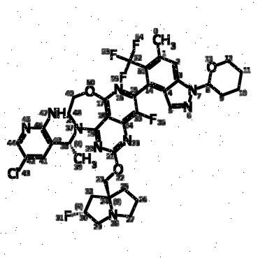 Cc1cc2c(cnn2C2CCCCO2)c(-c2nc3c4c(nc(OC[C@@]56CCCN5C[C@H](F)C6)nc4c2F)N([C@H](C)c2cc(Cl)cnc2N)CCO3)c1C(F)(F)F